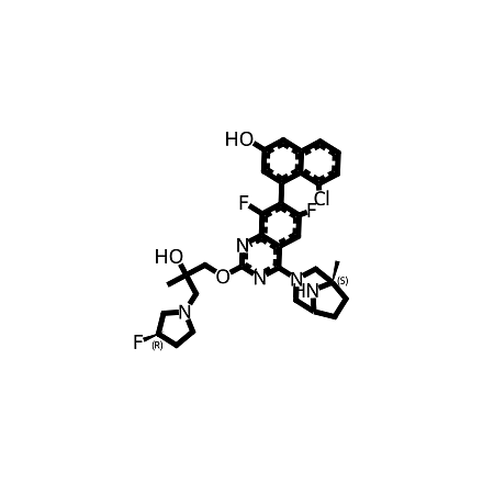 CC(O)(COc1nc(N2CC3CC[C@@](C)(C2)N3)c2cc(F)c(-c3cc(O)cc4cccc(Cl)c34)c(F)c2n1)CN1CC[C@@H](F)C1